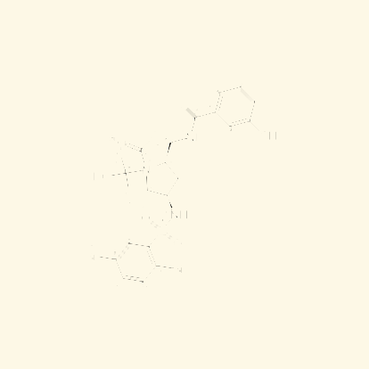 Cc1cccc(C(=O)NC[C@H]2C[C@@H](NS(=O)(=O)c3cc(Br)ccc3Br)C[N+]2(C(=O)[O-])C(C)(C)C)c1